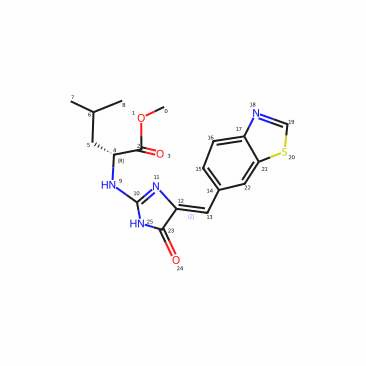 COC(=O)[C@@H](CC(C)C)NC1=N/C(=C\c2ccc3ncsc3c2)C(=O)N1